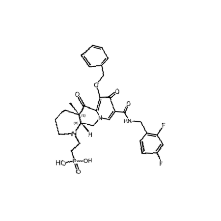 C[C@]12CCCN(CCP(=O)(O)O)[C@H]1Cn1cc(C(=O)NCc3ccc(F)cc3F)c(=O)c(OCc3ccccc3)c1C2=O